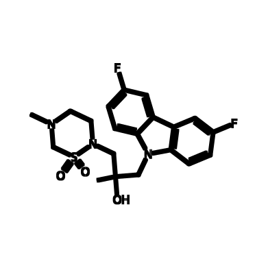 CN1CCN(CC(C)(O)Cn2c3ccc(F)cc3c3cc(F)ccc32)S(=O)(=O)C1